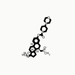 C[S+]([O-])C[C@@H]1Cc2cc(OC(=O)N3CCC(N4CCOCC4)CC3)ccc2[C@H]2CC[C@]3(C)/C(=N\O)CC[C@H]3[C@H]12